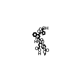 CCOC(=O)N1CCN(C(=O)C(CCC(=O)O)NC(=O)c2cc(C(=O)N3CCCC3C(=O)O)c3ccccc3n2)CC1